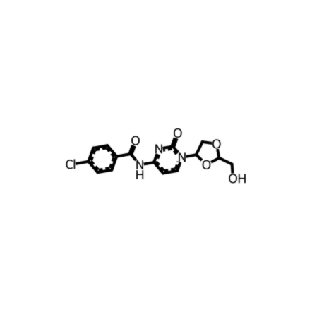 O=C(Nc1ccn(C2COC(CO)O2)c(=O)n1)c1ccc(Cl)cc1